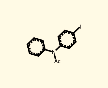 CC(=O)N(c1ccccc1)c1ccc(I)cc1